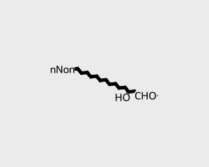 CCCCCCCCCCCCCCCCCCCCC(O)C[C]=O